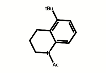 CC(=O)N1CCCc2c1cccc2C(C)(C)C